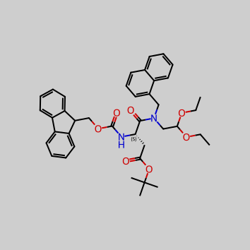 CCOC(CN(Cc1cccc2ccccc12)C(=O)[C@H](CC(=O)OC(C)(C)C)NC(=O)OCC1c2ccccc2-c2ccccc21)OCC